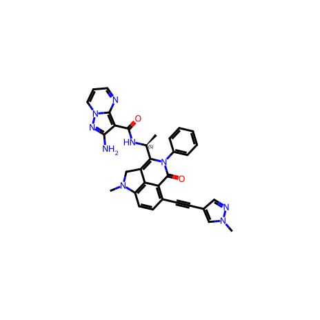 C[C@H](NC(=O)c1c(N)nn2cccnc12)c1c2c3c(ccc(C#Cc4cnn(C)c4)c3c(=O)n1-c1ccccc1)N(C)C2